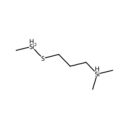 C[SiH2]SCCC[SiH](C)C